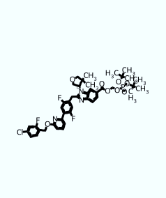 CC(C)(C)OP(=O)(OCOC(=O)c1ccc2nc(Cc3cc(F)c(-c4cccc(OCc5ccc(Cl)cc5F)n4)cc3F)n([C@@H]3COCC3(C)C)c2c1)OC(C)(C)C